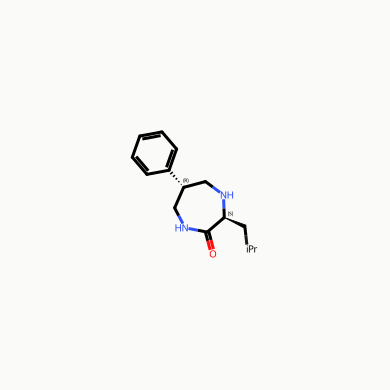 CC(C)C[C@@H]1NC[C@@H](c2ccccc2)CNC1=O